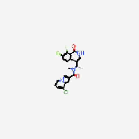 C[C@@H](c1c[nH]c(=O)c2c(F)c(F)ccc12)N(C)C(=O)c1cc2c(Cl)cccn2c1